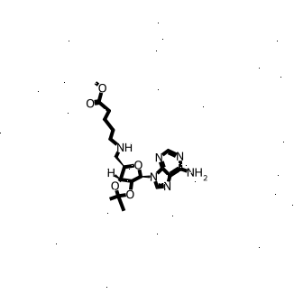 COC(=O)CCCCNC[C@H]1O[C@@H](n2cnc3c(N)ncnc32)C2OC(C)(C)O[C@@H]21